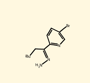 CCC(C)CC(=NN)c1ccc(Br)cn1